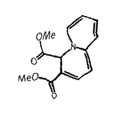 COC(=O)C1=CC=C2C=CC=CN2C1C(=O)OC